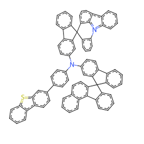 c1ccc2c(c1)-c1ccc(N(c3ccc(-c4ccc5c(c4)sc4ccccc45)cc3)c3ccc4c(c3)C3(c5ccccc5-4)c4ccccc4-n4c5ccccc5c5cccc3c54)cc1C21c2ccccc2-c2c1ccc1ccccc21